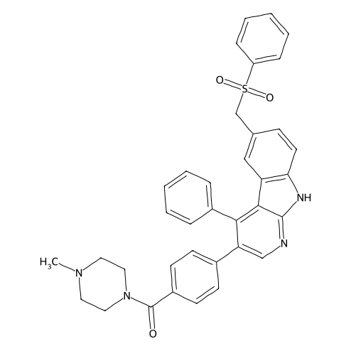 CN1CCN(C(=O)c2ccc(-c3cnc4[nH]c5ccc(CS(=O)(=O)c6ccccc6)cc5c4c3-c3ccccc3)cc2)CC1